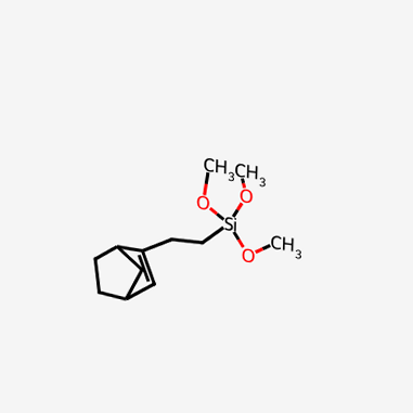 CO[Si](CCC1=CC2CCC1C2)(OC)OC